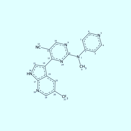 CN(c1ccncc1)c1ncc(C#N)c(-c2c[nH]c3ncc(C(F)(F)F)cc23)n1